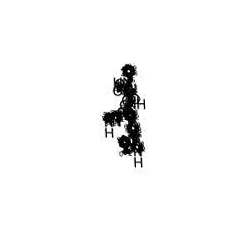 CC(C)c1ccccc1[C@@H]1CNCCN1C1CC2(CCN(c3ccc(C(=O)NS(=O)(=O)c4cnc(NCC5CCCCC5)c([N+](=O)[O-])c4)c(Oc4cnc5[nH]ccc5c4)c3)CC2)C1